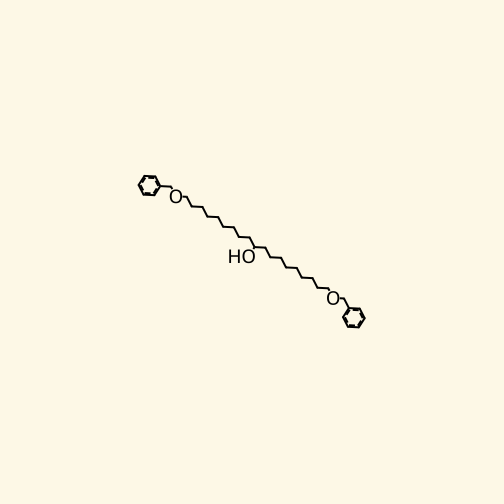 OC(CCCCCCCCCOCc1ccccc1)CCCCCCCCCOCc1ccccc1